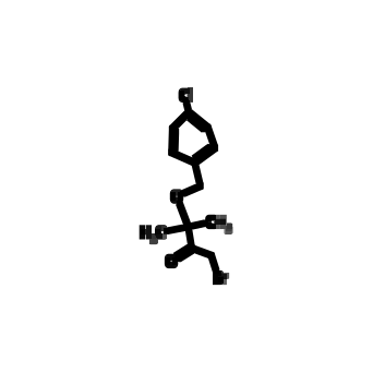 CC(C)(OCc1ccc(Cl)cc1)C(=O)CBr